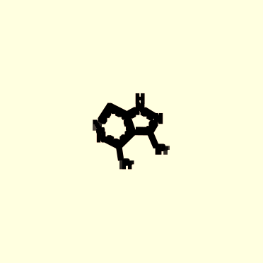 CC(C)c1nncc2[nH]nc(C(C)C)c12